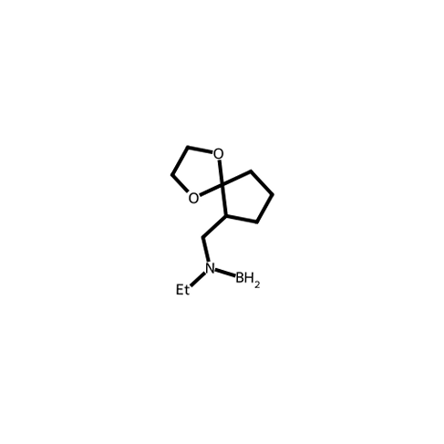 BN(CC)CC1CCCC12OCCO2